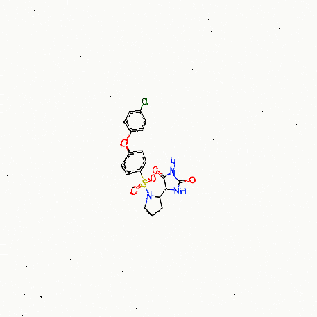 O=C1NC(=O)C(C2CCCN2S(=O)(=O)c2ccc(Oc3ccc(Cl)cc3)cc2)N1